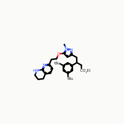 CCOC(=O)CC(Cc1cc(OCCc2ccc3c(n2)NCCC3)n(C)n1)c1cc(C(C)(C)C)cc(C(C)(C)C)c1